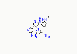 CCNc1cc(F)cc2c1[nH]c1ncc(-c3cncc(N)c3)c(N3CCCC(CN)C3)c12